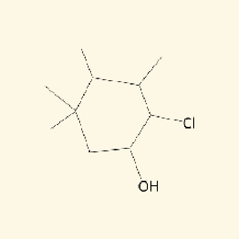 CC1C(Cl)C(O)CC(C)(C)C1C